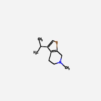 CC(C)c1csc2c1CCN(C)C2